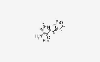 CCOc1c(N)nc(C)nc1CN1CCOCC1